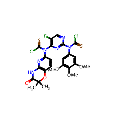 COc1cc(N(C(=S)Cl)c2ncc(F)c(N(C(=S)Cl)c3ccc4c(n3)NC(=O)C(C)(C)O4)n2)cc(OC)c1OC